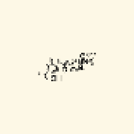 C=C(C)c1cc(F)c(CC(=O)Nc2ccnc(C(=O)NC(C)(C)C)c2)cc1O